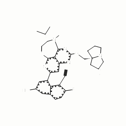 C#Cc1c(F)ccc2cc(O)cc(-c3cc4nc(OC[C@@]56CCCN5C[C@H](F)C6)nc5c4c(n3)OC[C@H](C(C)C)N5C)c12